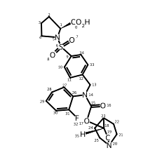 O=C(O)[C@@H]1CCCN1S(=O)(=O)c1ccc(CN(C(=O)O[C@H]2CN3CCC2CC3)c2ccccc2F)cc1